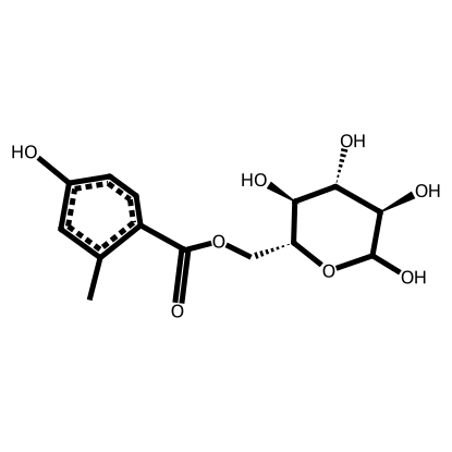 Cc1cc(O)ccc1C(=O)OC[C@H]1OC(O)[C@H](O)[C@@H](O)[C@@H]1O